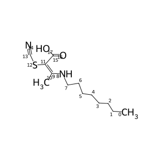 CCCCCCCCN/C(C)=C(/SC#N)C(=O)O